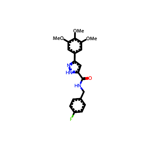 COc1cc(-c2cc(C(=O)NCc3ccc(F)cc3)[nH]n2)cc(OC)c1OC